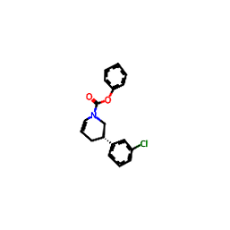 O=C(Oc1ccccc1)N1C=CC[C@@H](c2cccc(Cl)c2)C1